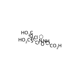 O=C(O)COc1c(C(=O)O)sc(-c2cccc(N(C(=O)Nc3ccc(C(=O)O)cc3)C3CCCCC3)c2)c1Cl